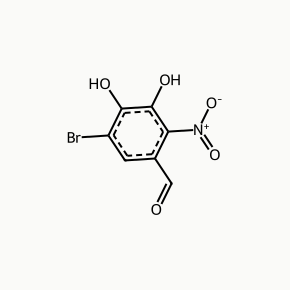 O=Cc1cc(Br)c(O)c(O)c1[N+](=O)[O-]